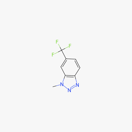 Cn1nnc2ccc(C(F)(F)F)cc21